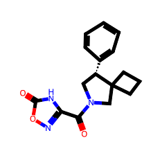 O=C(c1noc(=O)[nH]1)N1C[C@H](c2ccccc2)C2(CCC2)C1